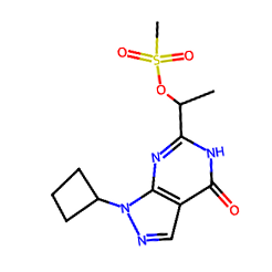 CC(OS(C)(=O)=O)c1nc2c(cnn2C2CCC2)c(=O)[nH]1